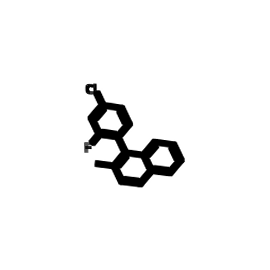 Cc1ccc2ccccc2c1-c1ccc(Cl)cc1F